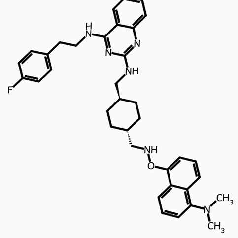 CN(C)c1cccc2c(ONC[C@H]3CC[C@H](CNc4nc(NCCc5ccc(F)cc5)c5ccccc5n4)CC3)cccc12